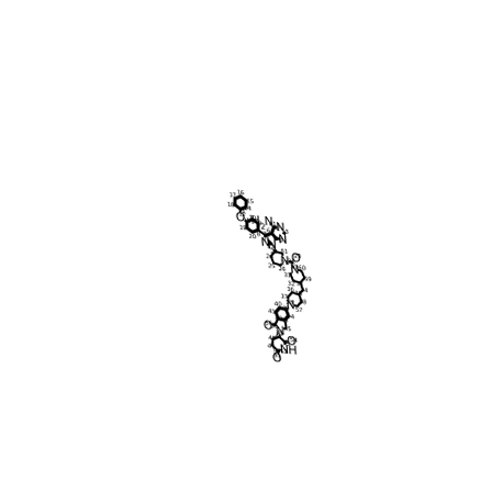 Nc1ncnc2c1c(-c1ccc(Oc3ccccc3)cc1)nn2C1CCCN(C(=O)N2CCC(CC3CCN(c4ccc5c(c4)CN(C4CCC(=O)NC4=O)C5=O)CC3)CC2)C1